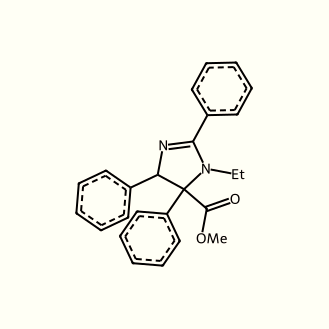 CCN1C(c2ccccc2)=NC(c2ccccc2)C1(C(=O)OC)c1ccccc1